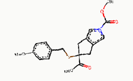 COC(=O)C1(SCc2ccc(OC)cc2)Cc2cn(C(=O)OC(C)(C)C)cc2C1